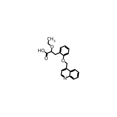 CCOC(Cc1ccccc1OCc1ccnc2ccccc12)C(=O)O